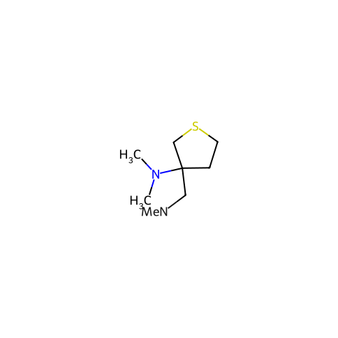 CNCC1(N(C)C)CCSC1